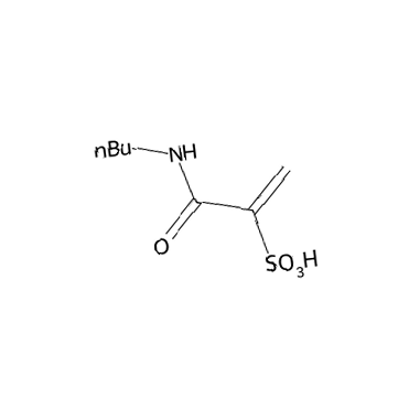 C=C(C(=O)NCCCC)S(=O)(=O)O